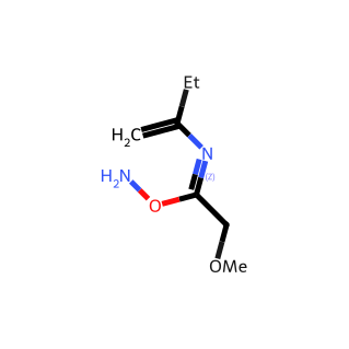 C=C(CC)/N=C(/COC)ON